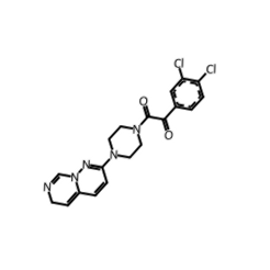 O=C(C(=O)N1CCN(C2=NN3C=NCC=C3C=C2)CC1)c1ccc(Cl)c(Cl)c1